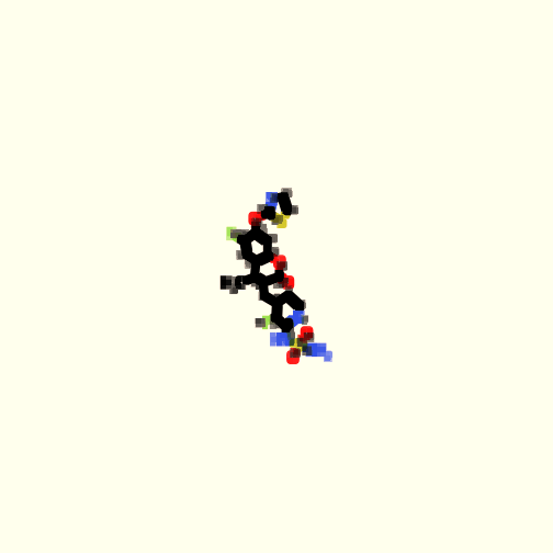 Cc1c(Cc2ccnc(NS(N)(=O)=O)c2F)c(=O)oc2cc(Oc3nccs3)c(F)cc12